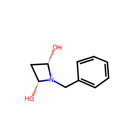 O[C@@H]1C[C@H](O)N1Cc1ccccc1